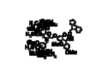 COc1ccc(C(NC(=O)OCC2c3ccccc3-c3ccccc32)c2ccc(OCC(=O)N(Cc3cc(O[Si](C)(C)C(C)(C)C)c(O[Si](C)(C)C(C)(C)C)c(O[Si](C)(C)C(C)(C)C)c3)Cc3cc(O[Si](C)(C)C(C)(C)C)c(O[Si](C)(C)C(C)(C)C)c(O[Si](C)(C)C(C)(C)C)c3)cc2)c(OC)c1